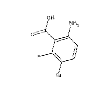 Nc1ccc(Br)c(F)c1C(=O)O